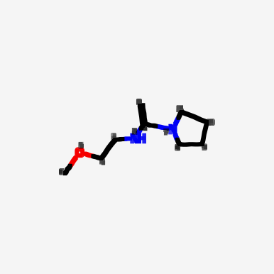 C=C(NCCOC)N1CCCC1